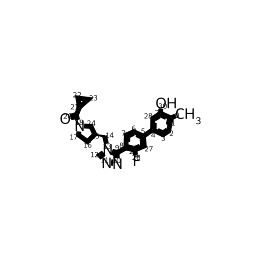 Cc1ccc(-c2ccc(-c3nncn3C[C@H]3CCN(C(=O)C4CC4)C3)c(F)c2)cc1O